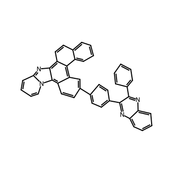 c1ccc(-c2nc3ccccc3nc2-c2ccc(-c3ccc4c(c3)c3c5ccccc5ccc3c3nc5ccccn5c43)cc2)cc1